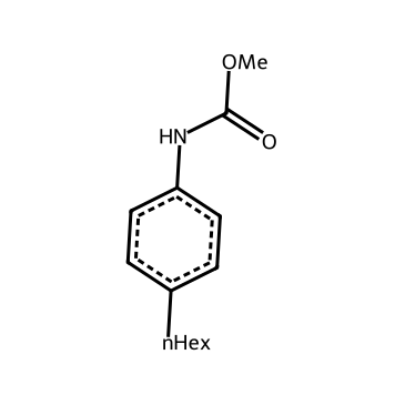 CCCCCCc1ccc(NC(=O)OC)cc1